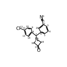 N#Cc1cccc([C@H](c2ccc(Cl)cc2)N2CC(=O)C2)c1